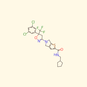 O=C(NCC1CCCC1)c1cc2c(s1)CN(C1=NOC(c3cc(Cl)cc(Cl)c3)(C(F)(F)F)C1)C2